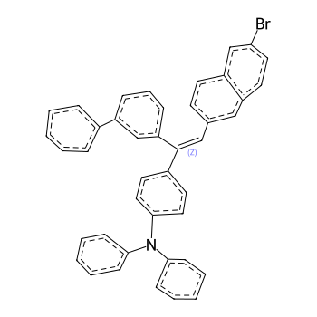 Brc1ccc2cc(/C=C(/c3ccc(N(c4ccccc4)c4ccccc4)cc3)c3cccc(-c4ccccc4)c3)ccc2c1